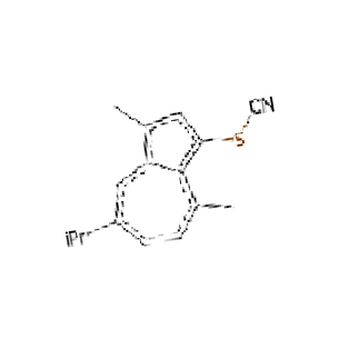 Cc1cc(SC#N)c2c(C)ccc(C(C)C)cc1-2